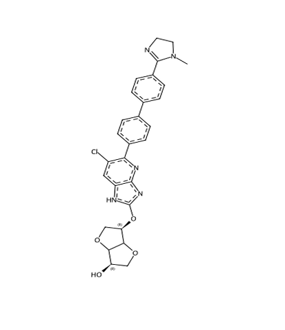 CN1CCN=C1c1ccc(-c2ccc(-c3nc4nc(O[C@@H]5COC6C5OC[C@H]6O)[nH]c4cc3Cl)cc2)cc1